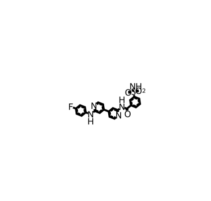 NS(=O)(=O)c1cccc(C(=O)Nc2cc(-c3ccnc(Nc4ccc(F)cc4)c3)ccn2)c1